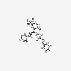 O=C(CCCc1ccc(C(F)(F)F)cc1C(=O)OCc1ccccc1)OCc1ccccc1